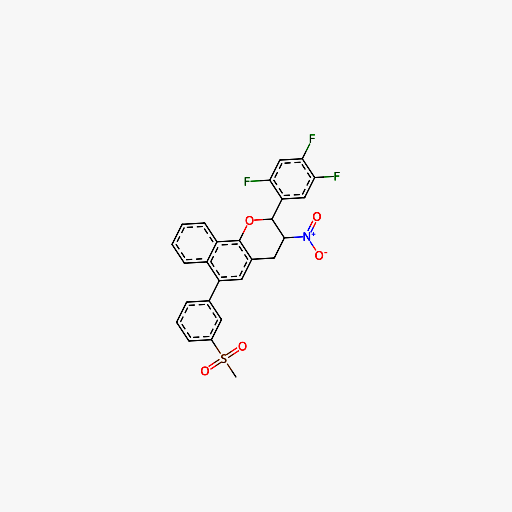 CS(=O)(=O)c1cccc(-c2cc3c(c4ccccc24)OC(c2cc(F)c(F)cc2F)C([N+](=O)[O-])C3)c1